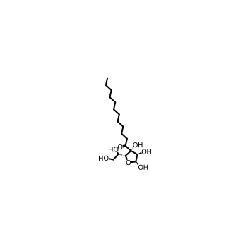 CCCCCCCCCCCC(=O)[C@]1(O)[C@@H](C(O)CO)O[C@H](O)[C@@H]1O